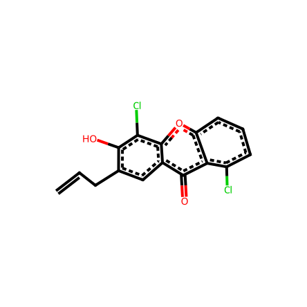 C=CCc1cc2c(=O)c3c(Cl)cccc3oc2c(Cl)c1O